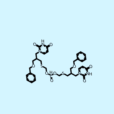 O=c1ccn(CC(COCc2ccccc2)CSCO[PH](=O)OCSCC(COCc2ccccc2)Cn2ccc(=O)[nH]c2=O)c(=O)[nH]1